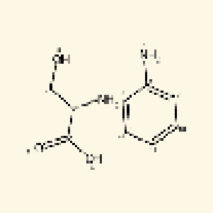 N[C@@H](CO)C(=O)O.Nc1ccccc1